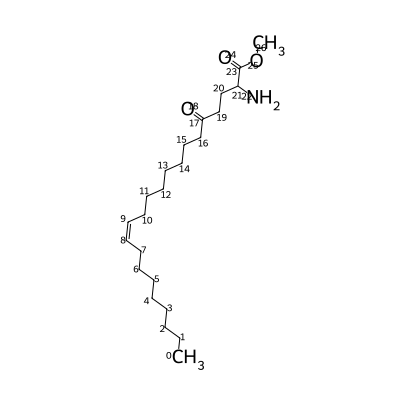 CCCCCCCC/C=C\CCCCCCCC(=O)CCC(N)C(=O)OC